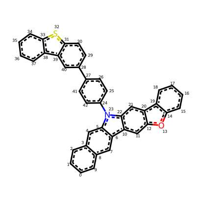 c1ccc2cc3c(cc2c1)c1cc2oc4ccccc4c2cc1n3-c1ccc(-c2ccc3sc4ccccc4c3c2)cc1